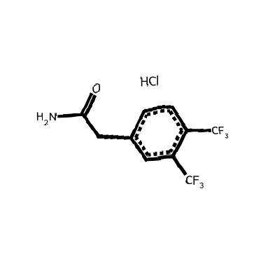 Cl.NC(=O)Cc1ccc(C(F)(F)F)c(C(F)(F)F)c1